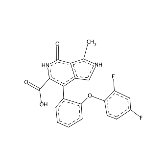 Cc1[nH]cc2c(-c3ccccc3Oc3ccc(F)cc3F)c(C(=O)O)[nH]c(=O)c12